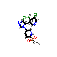 CS(=O)(=O)c1ccc(-n2cnc(Cl)c2-c2cncc(Cl)c2Cl)cn1